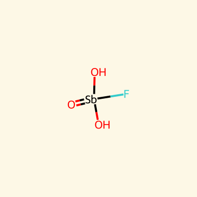 [O]=[Sb]([OH])([OH])[F]